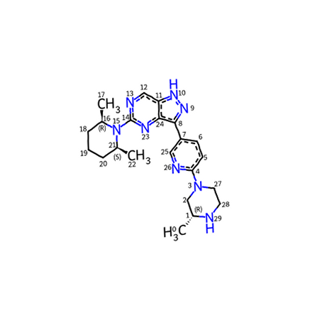 C[C@@H]1CN(c2ccc(-c3n[nH]c4cnc(N5[C@H](C)CCC[C@@H]5C)nc34)cn2)CCN1